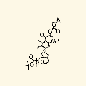 Cc1c(F)c(N2CC3CCOC3(CNC(=O)OC(C)(C)C)C2)cc2[nH]cc(OC(=O)OC3CC3)c(=O)c12